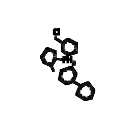 Cc1ccccc1P.ClCc1ccccc1.c1ccc(-c2ccccc2)cc1